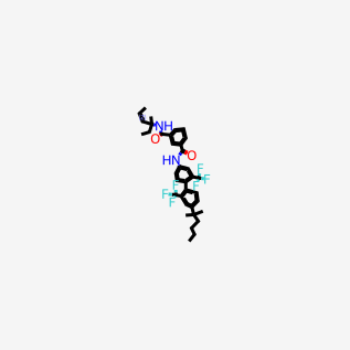 C/C=C\C(C)(CC)NC(=O)c1cccc(C(=O)Nc2ccc(-c3ccc(C(C)(C)CCCC)cc3C(F)(F)F)c(C(F)(F)F)c2)c1